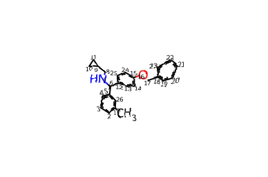 Cc1cccc(C(NCC2CC2)c2ccc(OCc3ccccc3)cc2)c1